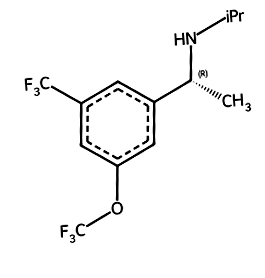 CC(C)N[C@H](C)c1cc(OC(F)(F)F)cc(C(F)(F)F)c1